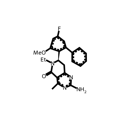 CCN1C(=O)c2c(C)nc(N)nc2C[C@@H]1c1c(OC)cc(F)cc1-c1ccccc1